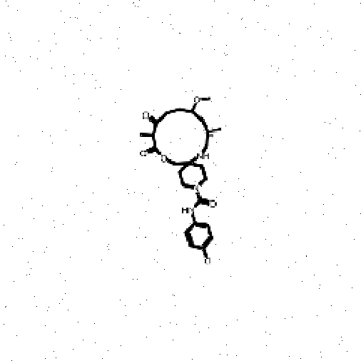 COC1CCC(=O)C(C)C(=O)OCC2(CCN(C(=O)Nc3ccc(Cl)cc3)CC2)NC[C@H](C)C1